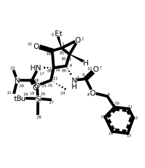 CC[C@@]12O[C@@H]1[C@H](NC(=O)OCc1ccccc1)[C@@](NC(=O)N(C)C)([C@H](C)O[Si](C)(C)C(C)(C)C)C2=O